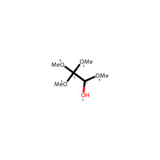 COC(O)C(OC)(OC)OC